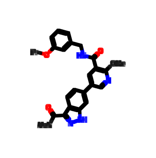 CNC(=O)c1n[nH]c2cc(-c3cnc(OC)c(C(=O)NCc4cccc(OC(C)C)c4)c3)ccc12